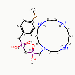 N#CSc1ccc(CP(=O)(O)CP(=O)(O)CN2CCCNCCNCCCNCC2)cc1